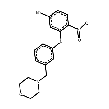 O=[N+]([O-])c1ccc(Br)cc1Nc1cccc(CN2CCOCC2)c1